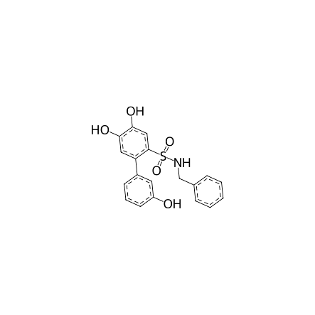 O=S(=O)(NCc1ccccc1)c1cc(O)c(O)cc1-c1cccc(O)c1